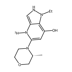 [2H]N1C2=CNN(CC)C2=C(O)C=C1N1CCOC[C@H]1C